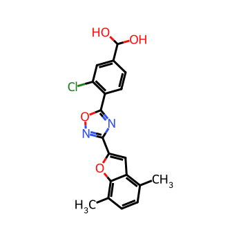 Cc1ccc(C)c2oc(-c3noc(-c4ccc(C(O)O)cc4Cl)n3)cc12